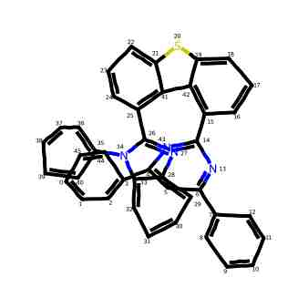 c1ccc(-c2cc(-c3ccccc3)nc(-c3cccc4sc5cccc(-c6nc7ccccc7n6-c6ccccc6)c5c34)n2)cc1